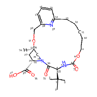 CC(C)(C)[C@@H]1NC(=O)OCCCCCc2cccc(n2)CO[C@@H]2C[C@@H](C(=O)O)N(C2)C1=O